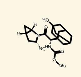 [C-]#[N+][C@@H]1C[C@@H]2C[C@@H]2N1C(=O)[C@@H](NC(=O)OC(C)(C)C)C12CC3CC(CC(O)(C3)C1)C2